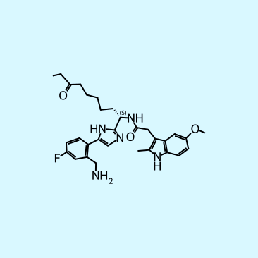 CCC(=O)CCCCC[C@H](NC(=O)Cc1c(C)[nH]c2ccc(OC)cc12)c1ncc(-c2ccc(F)cc2CN)[nH]1